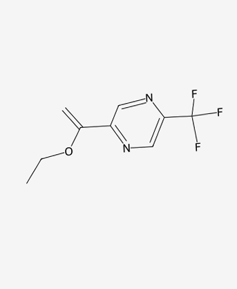 C=C(OCC)c1cnc(C(F)(F)F)cn1